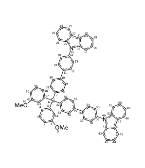 COc1cccc([Si](c2ccc(-c3ccc(-n4c5ccccc5c5ccccc54)cc3)cc2)(c2ccc(-c3ccc(-n4c5ccccc5c5ccccc54)cc3)cc2)c2cccc(OC)c2)c1